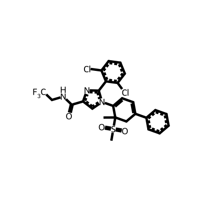 CC1(S(C)(=O)=O)CC(c2ccccc2)=CC=C1n1cc(C(=O)NCC(F)(F)F)nc1-c1c(Cl)cccc1Cl